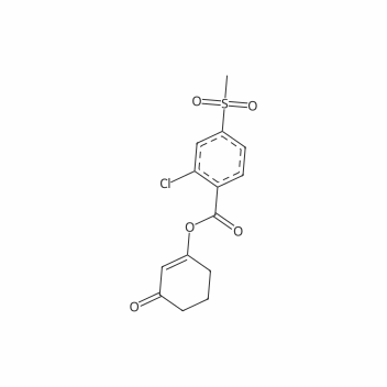 CS(=O)(=O)c1ccc(C(=O)OC2=CC(=O)CCC2)c(Cl)c1